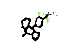 Cc1c2ccccc2c(-c2ccc(C(F)(F)C(F)(F)F)c(F)c2)c2ccccc12